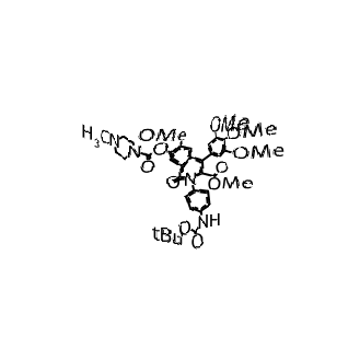 COC(=O)c1c(-c2cc(OC)c(OC)c(OC)c2)c2cc(OC)c(OC(=O)N3CCN(C)CC3)cc2c(=O)n1-c1ccc(NC(=O)OC(C)(C)C)cc1